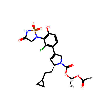 CC(C)C(=O)O[C@@H](C)OC(=O)N1CC(c2ccc(O)c(N3CC(=O)NS3(=O)=O)c2F)=C[C@H]1CCC1CC1